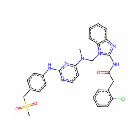 CN(Cn1c(NC(=O)Cc2ccccc2Cl)nc2ccccc21)c1ccnc(Nc2ccc(CS(C)(=O)=O)cc2)n1